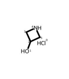 Cl.OC1CNC1